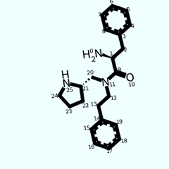 N[C@@H](Cc1ccccc1)C(=O)N(CCc1ccccc1)C[C@@H]1CCCN1